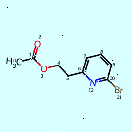 CC(=O)OCCc1cccc(Br)n1